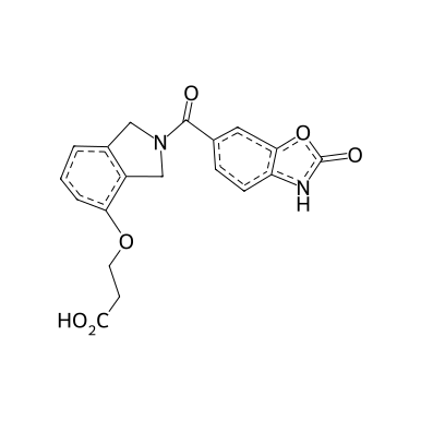 O=C(O)CCOc1cccc2c1CN(C(=O)c1ccc3[nH]c(=O)oc3c1)C2